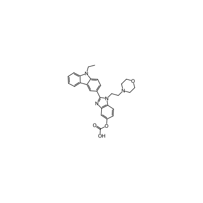 CCn1c2ccccc2c2cc(-c3nc4cc(OC(=O)O)ccc4n3CCN3CCOCC3)ccc21